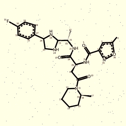 Cc1cc(C(=O)N[C@@H](CC(=O)N2CCCC[C@@H]2C)C(=O)N[C@@H](C)C2NCC(c3ccc(F)cc3)N2)no1